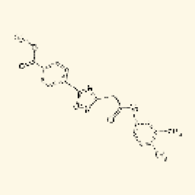 COC(=O)c1ccc(-c2nc(CC(=O)Nc3ccc(C)c(C)c3)no2)cc1